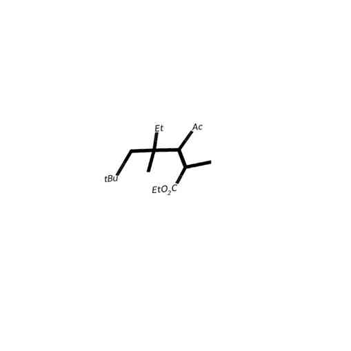 CCOC(=O)C(C)C(C(C)=O)C(C)(CC)CC(C)(C)C